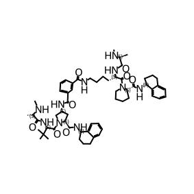 CN[C@@H](C)C(=O)N[C@@H](CCCCNC(=O)c1cccc(C(=O)N[C@H]2C[C@@H](C(=O)N[C@@H]3CCCc4ccccc43)N(C(=O)[C@@H](NC(=O)[C@H](C)NC)C(C)(C)C)C2)c1)C(=O)N1CCCC[C@H]1C(=O)N[C@@H]1CCCc2ccccc21